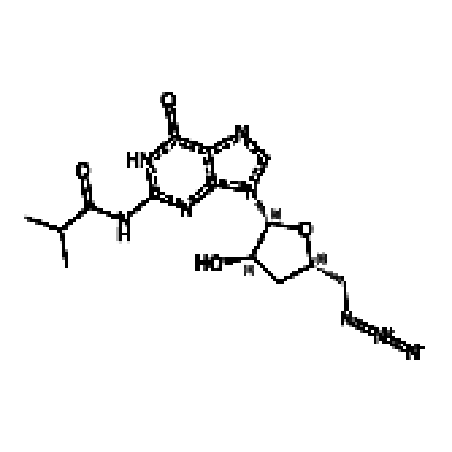 CC(C)C(=O)Nc1nc2c(ncn2[C@@H]2O[C@H](CN=[N+]=[N-])C[C@H]2O)c(=O)[nH]1